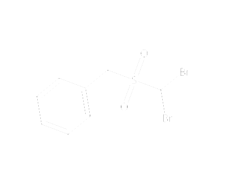 O=S(=O)(Cc1ccccc1)C(Br)Br